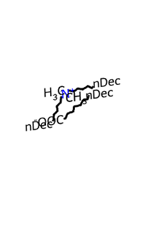 CCCCCCCCCCCCCCCCCC(=O)[O-].CCCCCCCCCCCCCCCC[N+](C)(C)CCCCCCCCCCCCCCCC